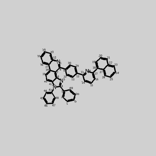 c1ccc(-c2nc3c4c(-c5ccc(-c6cccc(-c7cccc8ccccc78)n6)cc5)nc5ccccc5c4ccc3n2-c2ccccc2)cc1